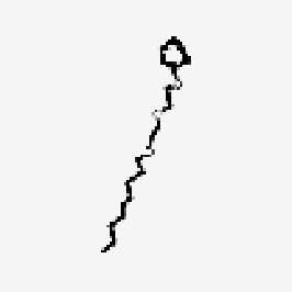 CCCCCCCCCOCCOCCOc1ccccc1